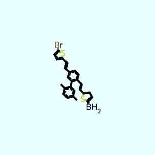 BC1=CCC(/C=C/c2ccc(/C=C/c3ccc(Br)s3)cc2-c2cc(C)ccc2C)S1